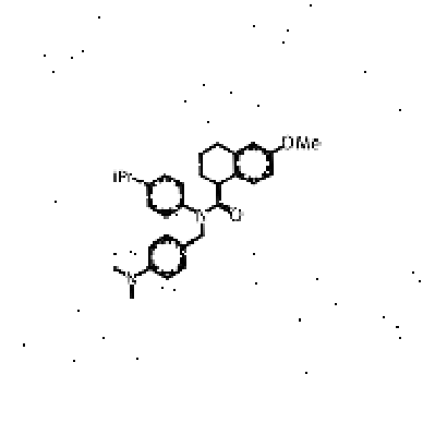 COc1ccc2c(c1)CCCC2C(=O)N(Cc1ccc(N(C)C)cc1)c1ccc(C(C)C)cc1